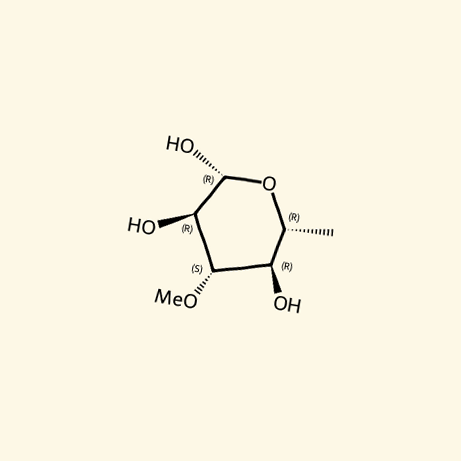 CO[C@@H]1[C@@H](O)[C@H](O)O[C@H](C)[C@H]1O